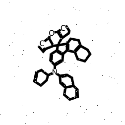 C1=CC2CC=C(N(c3ccc4c(c3)C3=C(CCC5=C3CCCC5)C43C4=C(CCCC4)OC4CCC=CC43)C3CC=CCC3)C=C2CC1